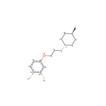 C[C@H]1CC[C@H](CCCOc2ccc(F)c(F)c2)CC1